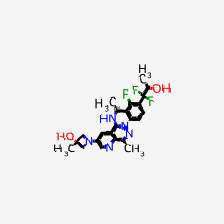 Cc1nnc(N[C@H](C)c2cccc(C(F)(F)C(C)O)c2F)c2cc(N3CC(C)(O)C3)cnc12